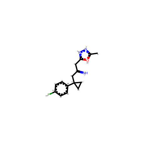 Cc1nnc(CC(=N)CC2(c3ccc(F)cc3)CC2)o1